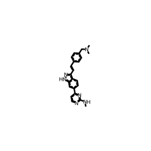 CNc1nccc(-c2ccc3c(/C=C/c4ccc(CN(C)C)cc4)n[nH]c3c2)n1